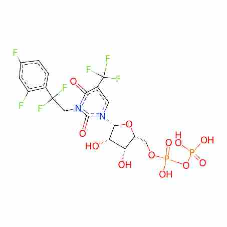 O=c1c(C(F)(F)F)cn([C@@H]2O[C@H](COP(=O)(O)OP(=O)(O)O)[C@H](O)[C@@H]2O)c(=O)n1CC(F)(F)c1ccc(F)cc1F